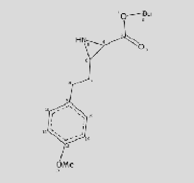 CCC(C)OC(=O)C1NC1CCc1ccc(OC)cc1